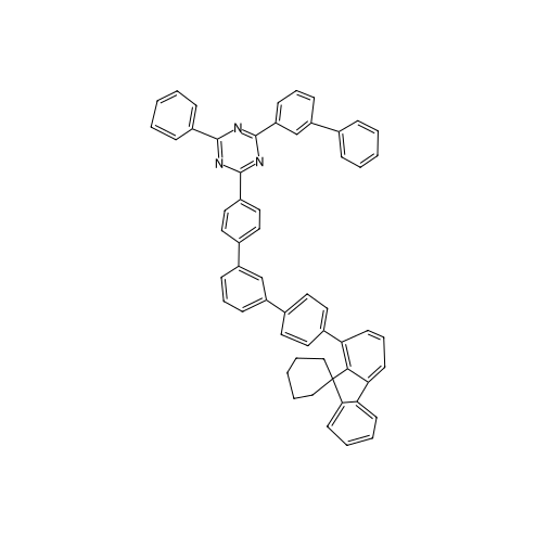 c1ccc(-c2cccc(-c3nc(-c4ccccc4)nc(-c4ccc(-c5cccc(-c6ccc(-c7cccc8c7C7(CCCCC7)c7ccccc7-8)cc6)c5)cc4)n3)c2)cc1